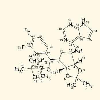 CC1(C)O[C@@H]2[C@H](O1)[C@@H](C(O[Si](C)(C)C(C)(C)C)c1ccc(F)c(F)c1)C[C@H]2Nc1ncnc2[nH]ccc12